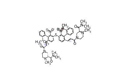 CC(C)c1ccccc1-c1c(/C=C/C(=O)N2CCN(C)C(C(=O)N(C)C)C2)ccc(Sc2ccc(/C=C/C(=O)N3CCN(C)C(C(=O)N(C)C)C3)c(-c3ccccc3C(C)C)c2[N+](=O)[O-])c1[N+](=O)[O-]